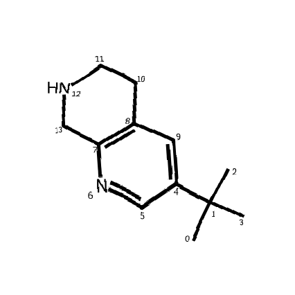 CC(C)(C)c1cnc2c(c1)CCNC2